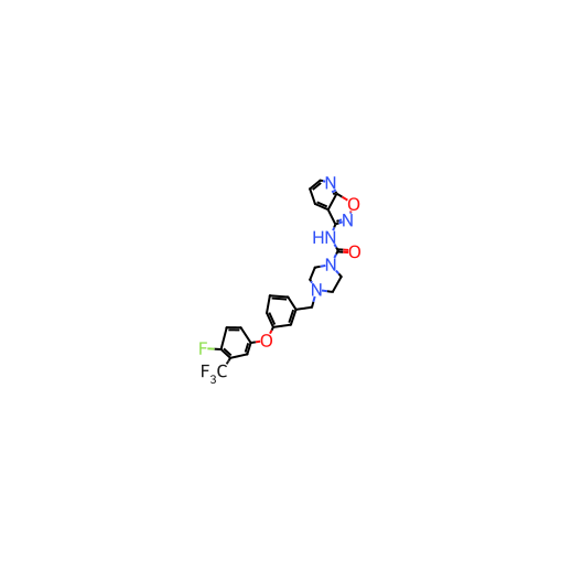 O=C(Nc1noc2ncccc12)N1CCN(Cc2cccc(Oc3ccc(F)c(C(F)(F)F)c3)c2)CC1